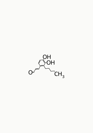 CCCCCc1c(/C=C/C=O)ccc(O)c1O